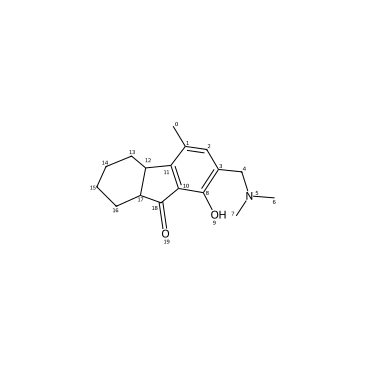 Cc1cc(CN(C)C)c(O)c2c1C1CCCCC1C2=O